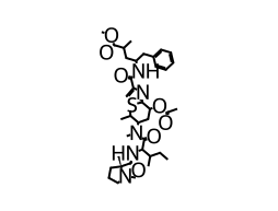 CCC(C)C(NC(=O)[C@@]1(C)CCCN1C)C(=O)N(C)C(CC(OC(C)=O)c1nc(C(=O)NC(Cc2ccccc2)CC(C)C(=O)OC)cs1)C(C)C